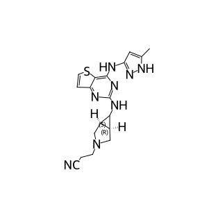 Cc1cc(Nc2nc(NC3[C@H]4CN(CCC#N)C[C@@H]34)nc3ccsc23)n[nH]1